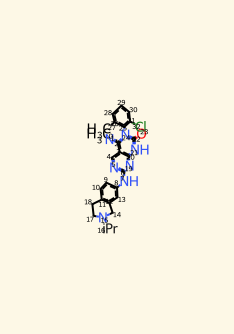 C/N=c1/c2cnc(Nc3ccc4c(c3)CN(C(C)C)CC4)nc2[nH]c(=O)n1-c1c(C)cccc1Cl